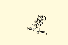 C[C@H](NC(=O)[C@@H]1CCCN1)C(=O)N[C@@H](CC(N)=O)C(=O)O